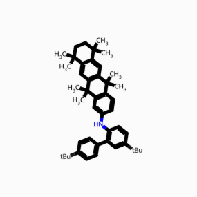 CC(C)(C)c1ccc(-c2cc(C(C)(C)C)ccc2Nc2ccc3c(c2)C(C)(C)c2cc4c(cc2C3(C)C)C(C)(C)CCC4(C)C)cc1